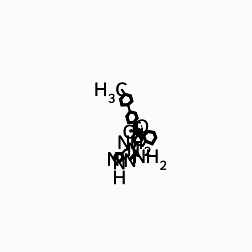 Cc1ccc(-c2ccc(S(=O)(=O)N3CC(N4C(N)=Nc5[nH]ncc5C4N)Cc4ccccc43)cc2)cc1